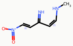 CN/C=C\C(=N)/C=C/[N+](=O)[O-]